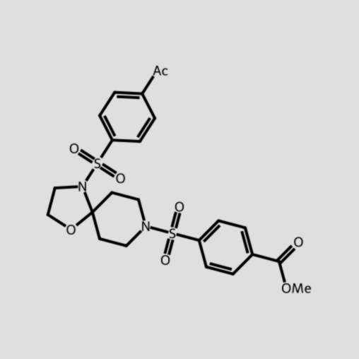 COC(=O)c1ccc(S(=O)(=O)N2CCC3(CC2)OCCN3S(=O)(=O)c2ccc(C(C)=O)cc2)cc1